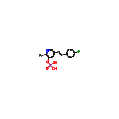 CC(C)c1ncc(/C=C/c2ccc(F)cc2)cc1OP(=O)(O)O